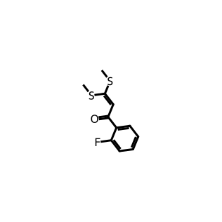 CSC(=CC(=O)c1ccccc1F)SC